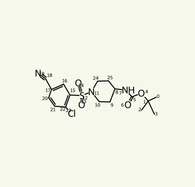 CC(C)(C)OC(=O)NC1CCN(S(=O)(=O)c2cc(C#N)ccc2Cl)CC1